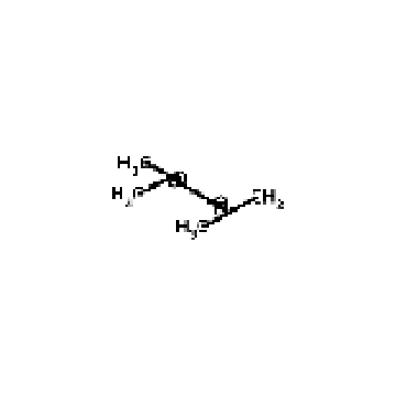 CCCCCCCCCCC(CCCCCCCC)COC(=O)CCCCCCCCCCCCCC(=O)OCC(CCCCCCCC)CCCCCCCCCC